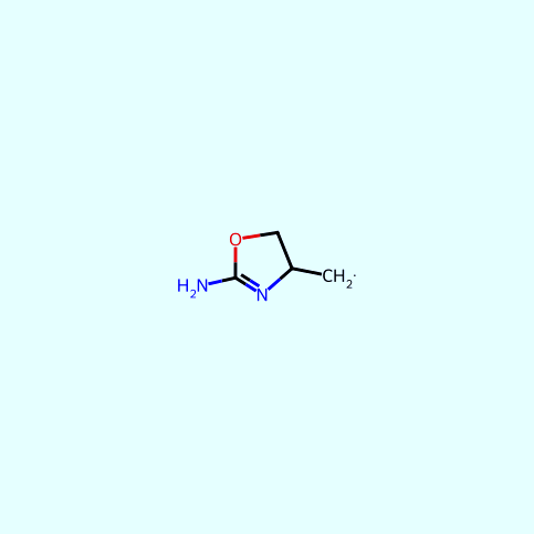 [CH2]C1COC(N)=N1